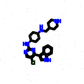 Clc1cnc(N[C@H]2CC[C@H](NCC3CCNCC3)CC2)nc1-c1c[nH]c2ccccc12